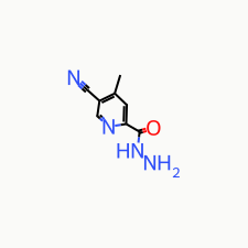 Cc1cc(C(=O)NN)ncc1C#N